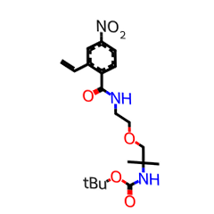 C=Cc1cc([N+](=O)[O-])ccc1C(=O)NCCOCC(C)(C)NC(=O)OC(C)(C)C